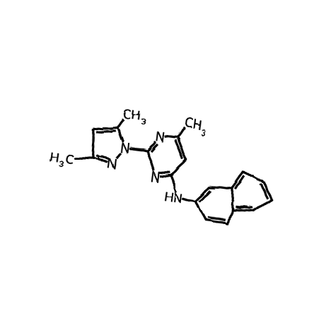 Cc1cc(Nc2ccc3ccccc3c2)nc(-n2nc(C)cc2C)n1